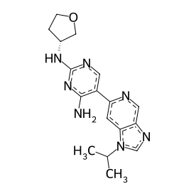 CC(C)n1cnc2cnc(-c3cnc(N[C@@H]4CCOC4)nc3N)cc21